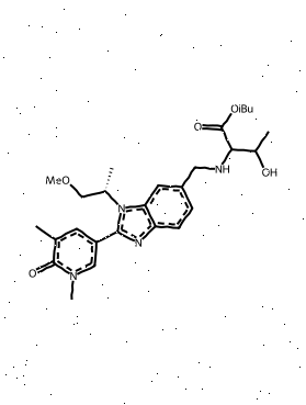 COC[C@H](C)n1c(-c2cc(C)c(=O)n(C)c2)nc2ccc(CNC(C(=O)OCC(C)C)C(C)O)cc21